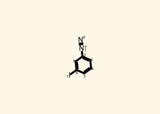 N#[N+]c1cccc(I)c1